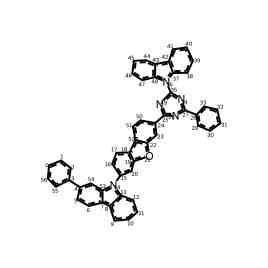 c1ccc(-c2ccc3c4ccccc4n(-c4ccc5c(c4)oc4cc(-c6nc(-c7ccccc7)nc(-n7c8ccccc8c8ccccc87)n6)ccc45)c3c2)cc1